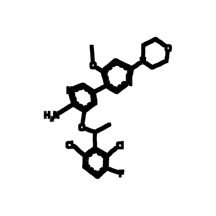 COc1cc(N2CCOCC2)ncc1-c1cnc(N)c(OC(C)c2c(Cl)ccc(F)c2Cl)c1